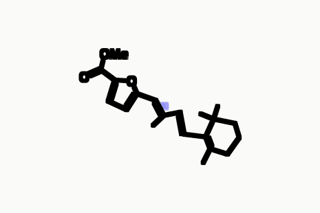 COC(=O)c1ccc(/C=C(\C)C=CC2=C(C)CCCC2(C)C)o1